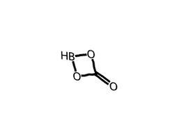 O=C1OBO1